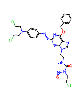 O=NN(CCCl)C(=O)NCCn1cnc2c(OCc3ccccc3)nc(N=Nc3ccc(N(CCCl)CCCl)cc3)nc21